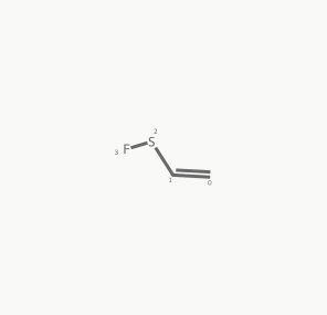 C=CSF